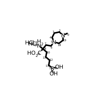 CN1CCCN(CCC(N)(CCCCB(O)O)C(=O)O)CC1.Cl.Cl